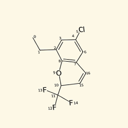 CCc1cc(Cl)cc2c1OC(C(F)(F)F)C=C2